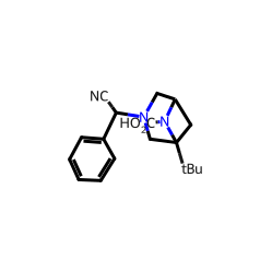 CC(C)(C)C12CC(CN(C(C#N)c3ccccc3)C1)N2C(=O)O